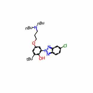 CCCCN(CCCC)CCCOc1cc(-n2nc3ccc(Cl)cc3n2)c(O)c(C(C)(C)C)c1